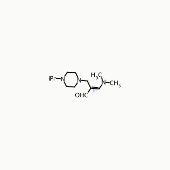 CC(C)N1CCN(C/C(C=O)=C\N(C)C)CC1